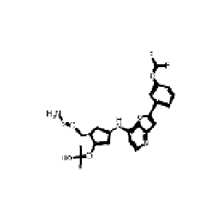 CC(C)(O)OC1C[C@H](Nc2ccnc3cc(-c4cccc(OC(F)F)c4)oc23)C[C@@H]1COSN